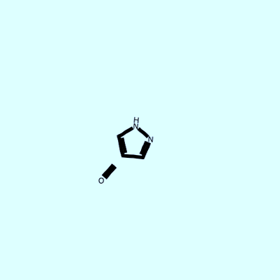 C=O.c1cn[nH]c1